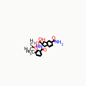 Cc1cccc(C(=O)NC2(C(=O)O)Cc3ccc(C(N)=O)cc3C2)c1OC(C)C